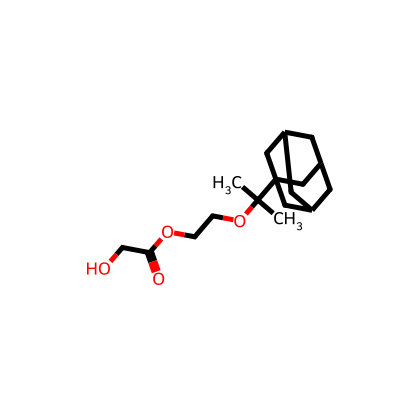 CC(C)(OCCOC(=O)CO)C12CC3CC(CC(C3)C1)C2